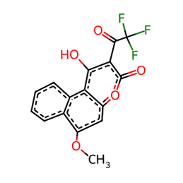 COc1cc2oc(=O)c(C(=O)C(F)(F)F)c(O)c2c2ccccc12